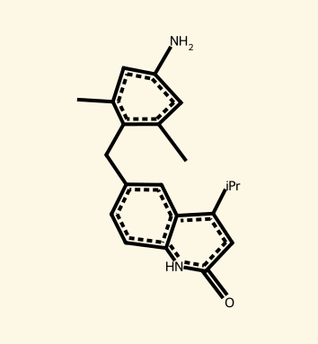 Cc1cc(N)cc(C)c1Cc1ccc2[nH]c(=O)cc(C(C)C)c2c1